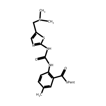 CCCCCC(=O)c1cc(C)ccc1NC(=O)Nc1ncc(CN(C)C)s1